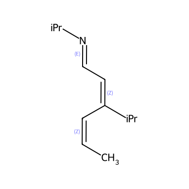 C\C=C/C(=C\C=N\C(C)C)C(C)C